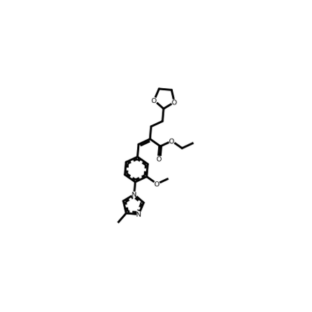 CCOC(=O)C(=Cc1ccc(-n2cnc(C)c2)c(OC)c1)CCC1OCCO1